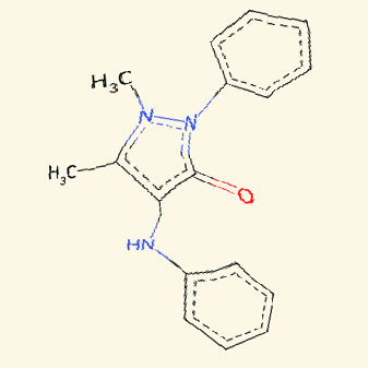 Cc1c(Nc2ccccc2)c(=O)n(-c2ccccc2)n1C